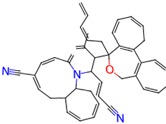 C=C/C=C\CC1(C(C(=C)C)C(/C=C/C#N)N2C(=C)/C=C\C(C#N)=C/CC3C=CC=CCC32)OCC2=C(C=CCC=C2)C2=C1C=CC=CC2